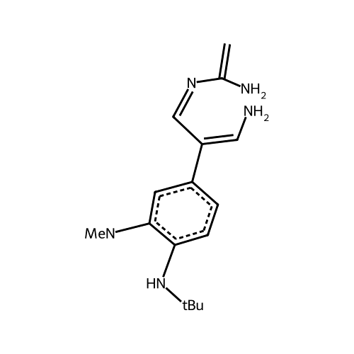 C=C(N)/N=C\C(=C/N)c1ccc(NC(C)(C)C)c(NC)c1